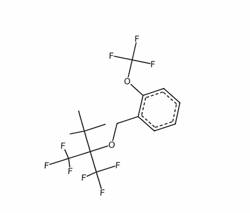 CC(C)(C)C(OCc1ccccc1OC(F)(F)F)(C(F)(F)F)C(F)(F)F